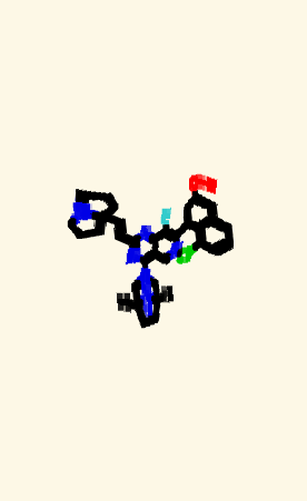 Oc1cc(-c2ncc3c(N4C[C@H]5CC[C@@H](C4)N5)nc(/C=C/C45CCCN4CCC5)nc3c2F)c2c(Cl)cccc2c1